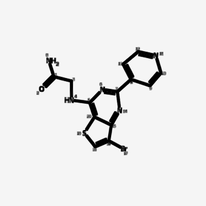 NC(=O)CNc1nc(-c2ccncc2)nc2c(Br)csc12